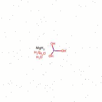 O.O.O.OP(O)O.[MgH2]